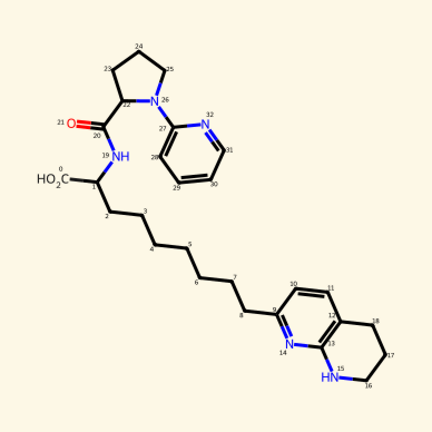 O=C(O)C(CCCCCCCc1ccc2c(n1)NCCC2)NC(=O)C1CCCN1c1ccccn1